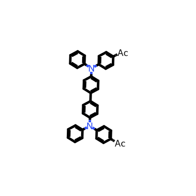 CC(=O)c1ccc(N(c2ccccc2)c2ccc(-c3ccc(N(c4ccccc4)c4ccc(C(C)=O)cc4)cc3)cc2)cc1